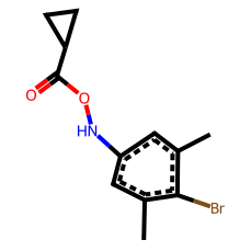 Cc1cc(NOC(=O)C2CC2)cc(C)c1Br